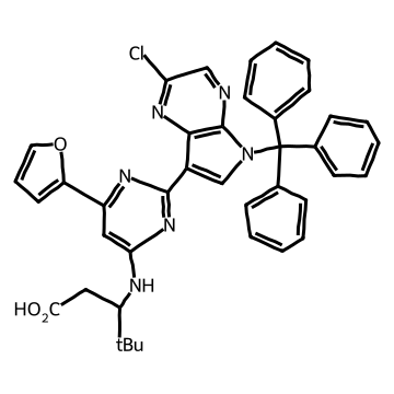 CC(C)(C)C(CC(=O)O)Nc1cc(-c2ccco2)nc(-c2cn(C(c3ccccc3)(c3ccccc3)c3ccccc3)c3ncc(Cl)nc23)n1